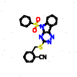 N#Cc1ccccc1CSc1nnc2c3ccccc3n(S(=O)(=O)c3ccccc3)c2n1